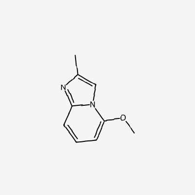 COc1cccc2nc(C)cn12